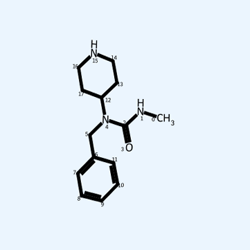 CNC(=O)N(Cc1ccccc1)C1CCNCC1